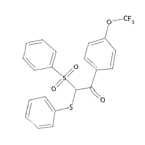 O=C(c1ccc(OC(F)(F)F)cc1)C(Sc1ccccc1)S(=O)(=O)c1ccccc1